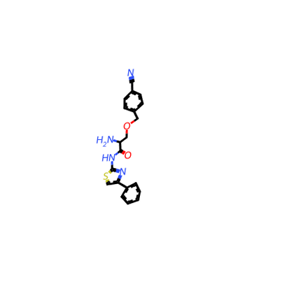 N#Cc1ccc(COCC(N)C(=O)Nc2nc(-c3ccccc3)cs2)cc1